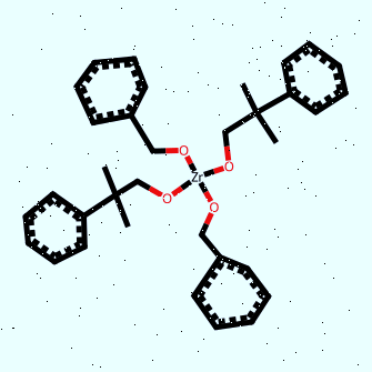 CC(C)(C[O][Zr]([O]Cc1ccccc1)([O]Cc1ccccc1)[O]CC(C)(C)c1ccccc1)c1ccccc1